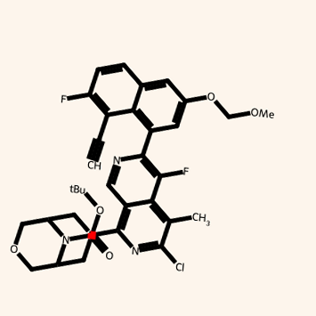 C#Cc1c(F)ccc2cc(OCOC)cc(-c3ncc4c(N5CC6COCC(C5)N6C(=O)OC(C)(C)C)nc(Cl)c(C)c4c3F)c12